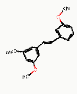 COc1cc(C=Cc2cccc(OC#N)c2)cc(OC#N)c1